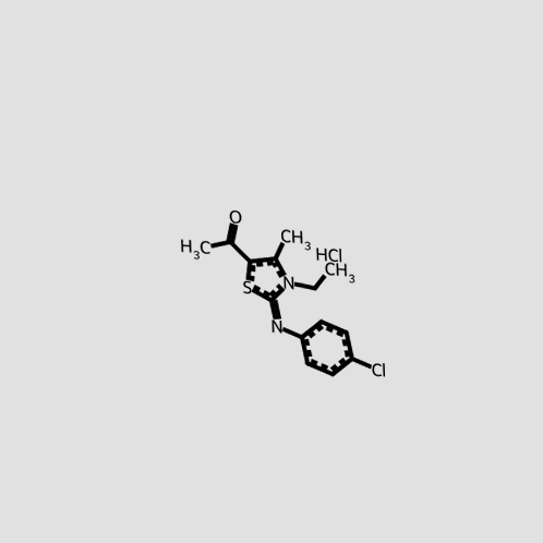 CCn1c(C)c(C(C)=O)sc1=Nc1ccc(Cl)cc1.Cl